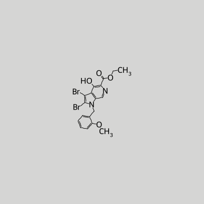 CCOC(=O)c1ncc2c(c1O)c(Br)c(Br)n2Cc1ccccc1OC